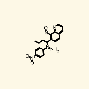 CCCC(c1ccc2cccnc2c1N=O)N(N)c1ccc([N+](=O)[O-])cc1